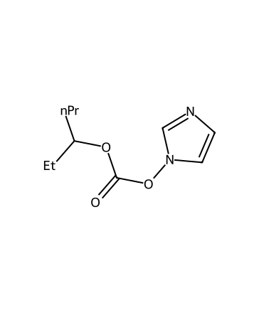 CCCC(CC)OC(=O)On1ccnc1